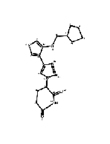 O=C1CCC(n2cc(-c3cscc3OCC3CCCC3)nn2)C(=O)N1